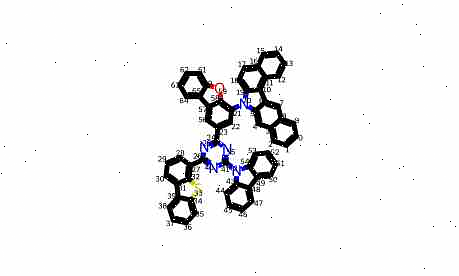 c1ccc2cc3c(cc2c1)c1c2ccccc2ccc1n3-c1cc(-c2nc(-c3cccc4c3sc3ccccc34)nc(-n3c4ccccc4c4ccccc43)n2)cc2c1oc1ccccc12